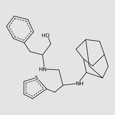 OCC(Cc1ccccc1)NCC(Cc1cccs1)NC1C2CC3CC(C2)CC1C3